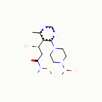 CON(C)C(=O)C[C@@H](C)c1c(I)ncnc1N1CCN(B(C)O)CC1